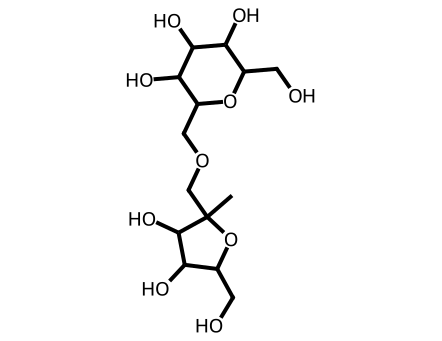 CC1(COCC2OC(CO)C(O)C(O)C2O)OC(CO)C(O)C1O